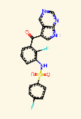 O=C(c1cccc(NS(=O)(=O)c2ccc(F)cc2)c1F)c1c[nH]c2ncncc12